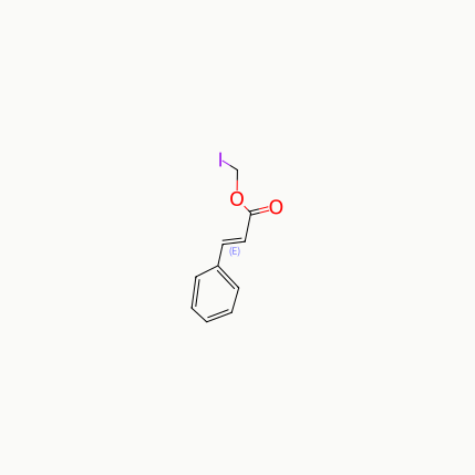 O=C(/C=C/c1ccccc1)OCI